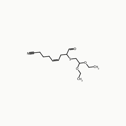 CCOC(CSC(C=O)C/C=C\CCCC#N)OCC